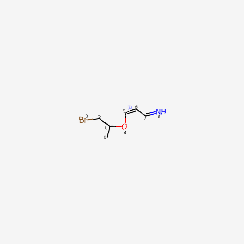 CC(CBr)O/C=C\C=N